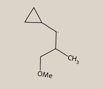 COCC(C)[CH]C1CC1